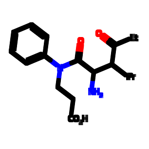 CCC(=O)C(C(C)C)C(N)C(=O)N(CCC(=O)O)c1ccccc1